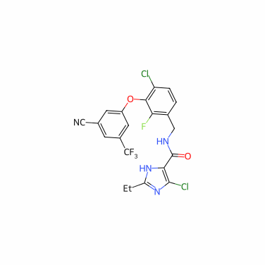 CCc1nc(Cl)c(C(=O)NCc2ccc(Cl)c(Oc3cc(C#N)cc(C(F)(F)F)c3)c2F)[nH]1